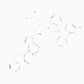 COc1ccc(C(OC[C@H]2O[C@@H](n3cnc4c(NC(=O)c5ccccc5)ncnc43)C[C@@H]2O[PH](=O)O)(c2ccccc2)c2ccc(OC)cc2)cc1